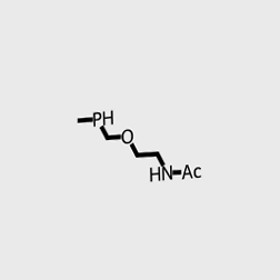 CPCOCCNC(C)=O